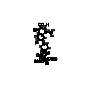 COP(=O)(OC)C(CN1CCN(c2cc3c(cc2F)c(=O)c(C(=O)O)cn3C2CC2)CC1)P(=O)(OC)OC